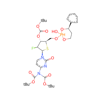 CC(C)(C)OC(=O)O[C@H]1[C@H](F)[C@H](n2ccc(N(C(=O)OC(C)(C)C)C(=O)OC(C)(C)C)nc2=O)S[C@@H]1CO[PH]1(O)OCC[C@H](c2ccccc2)O1